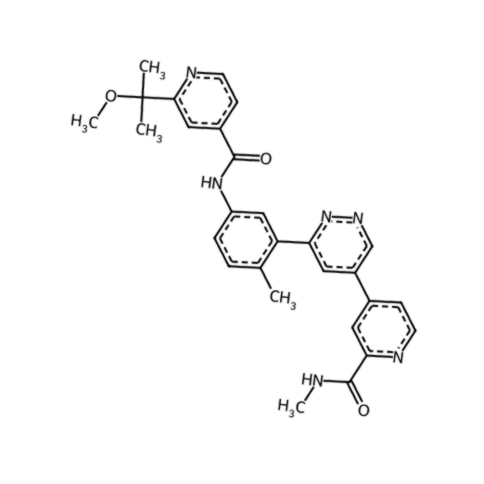 CNC(=O)c1cc(-c2cnnc(-c3cc(NC(=O)c4ccnc(C(C)(C)OC)c4)ccc3C)c2)ccn1